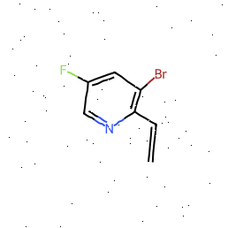 C=Cc1ncc(F)cc1Br